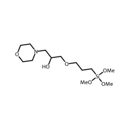 CO[Si](CCCOCC(O)CN1CCOCC1)(OC)OC